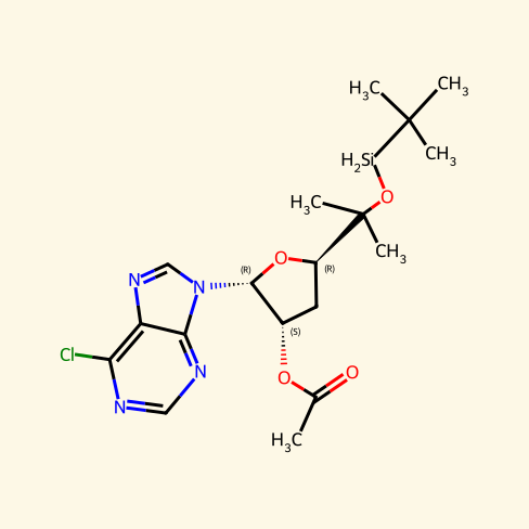 CC(=O)O[C@H]1C[C@H](C(C)(C)O[SiH2]C(C)(C)C)O[C@H]1n1cnc2c(Cl)ncnc21